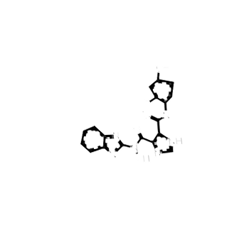 Cc1ccc(NC(=O)c2[nH]cnc2C(=O)N(C)c2nc3ccccc3[nH]2)c(C)c1